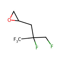 FCC(F)(CC1CO1)C(F)(F)F